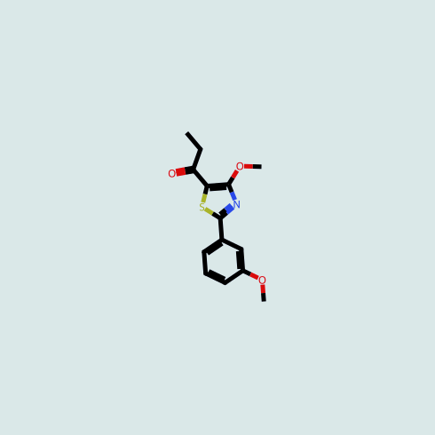 CCC(=O)c1sc(-c2cccc(OC)c2)nc1OC